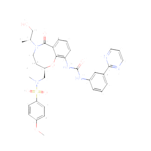 COc1ccc(S(=O)(=O)N(C)C[C@@H]2Oc3c(NC(=O)Nc4cccc(-c5ncccn5)c4)cccc3C(=O)N([C@@H](C)CO)C[C@H]2C)cc1